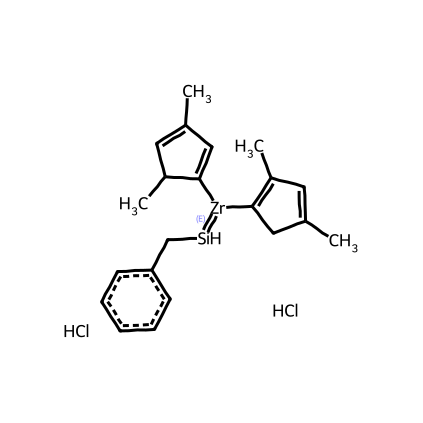 CC1=CC(C)[C](/[Zr](=[SiH]\Cc2ccccc2)[C]2=C(C)C=C(C)C2)=C1.Cl.Cl